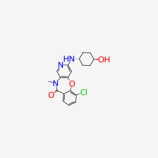 CN1C(=O)c2cccc(Cl)c2Oc2cc(N[C@H]3CC[C@H](O)CC3)ncc21